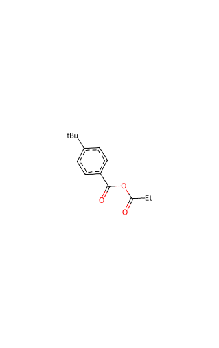 CCC(=O)OC(=O)c1ccc(C(C)(C)C)cc1